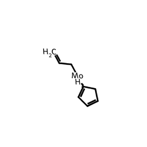 C=C[CH2][MoH2][C]1=CC=CC1